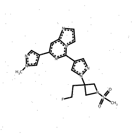 Cn1cc(-c2cc3nccn3c(-c3cnn(C4(CCF)CN(S(C)(=O)=O)C4)c3)n2)cn1